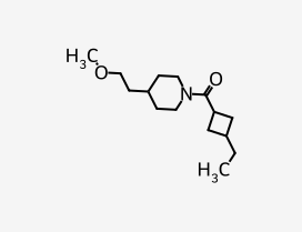 CCC1CC(C(=O)N2CCC(CCOC)CC2)C1